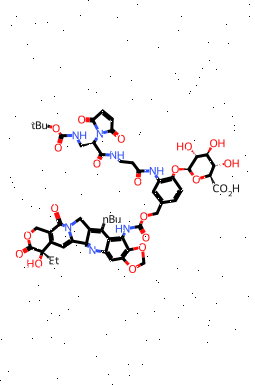 CCCCc1c2c(nc3cc4c(c(NC(=O)OCc5ccc(O[C@@H]6O[C@H](C(=O)O)[C@@H](O)[C@H](O)[C@H]6O)c(NC(=O)CCNC(=O)[C@@H](CNC(=O)OC(C)(C)C)N6C(=O)C=CC6=O)c5)c13)OCO4)-c1cc3c(c(=O)n1C2)COC(=O)[C@]3(O)CC